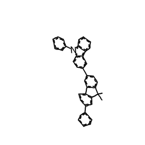 CC1(C)c2ccc(-c3ccc4c(c3)c3ccccc3n4-c3ccccc3)cc2-c2ccc(-c3ccccc3)cc21